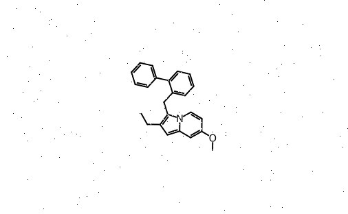 CCc1cc2cc(OC)ccn2c1Cc1ccccc1-c1ccccc1